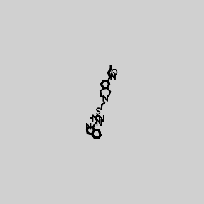 Cc1cc(-c2ccc3c(c2)CCN(CCCSc2nnc(-c4nccc5ccccc45)n2C)CC3)no1